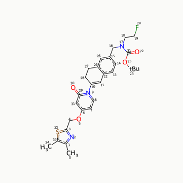 Cc1nc(COc2ccn(C3=Cc4ccc(CN(CCF)C(=O)OC(C)(C)C)cc4CC3)c(=O)c2)sc1C